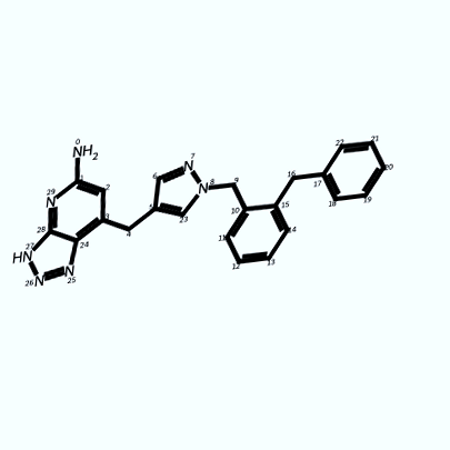 Nc1cc(Cc2cnn(Cc3ccccc3Cc3ccccc3)c2)c2nn[nH]c2n1